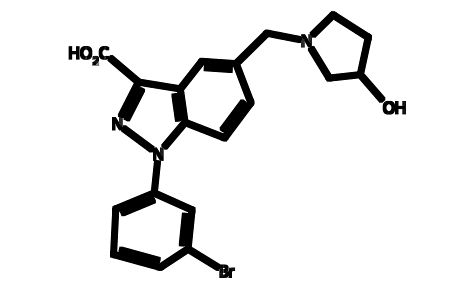 O=C(O)c1nn(-c2cccc(Br)c2)c2ccc(CN3CCC(O)C3)cc12